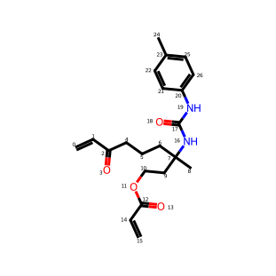 C=CC(=O)CCCC(C)(CCOC(=O)C=C)NC(=O)Nc1ccc(C)cc1